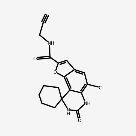 C#CCNC(=O)c1cc2cc(Cl)c3c(c2o1)C1(CCCCC1)NC(=O)N3